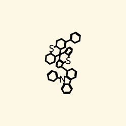 C1=CCCC(C2=CC3C(CC2)SC2CCCCC2C32C3=C(Sc4ccccc42)C(C2CC=Cc4c2n(C2=CC=CCC2)c2ccccc42)CC=C3)=C1